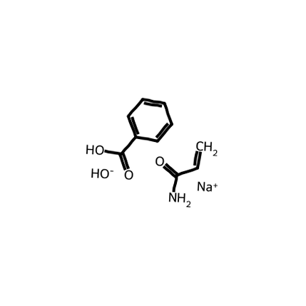 C=CC(N)=O.O=C(O)c1ccccc1.[Na+].[OH-]